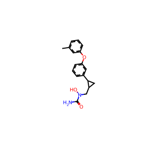 Cc1cccc(Oc2cccc(C3CC3CN(O)C(N)=O)c2)c1